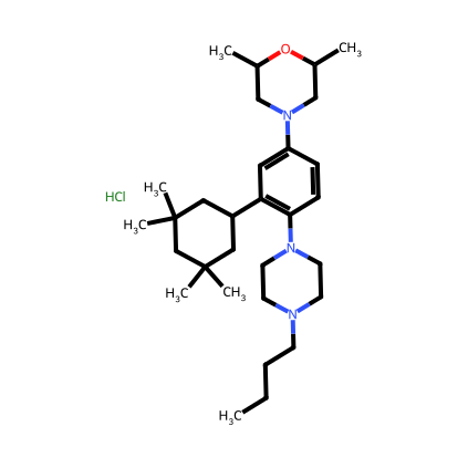 CCCCN1CCN(c2ccc(N3CC(C)OC(C)C3)cc2C2CC(C)(C)CC(C)(C)C2)CC1.Cl